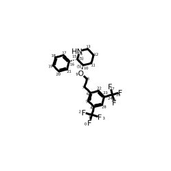 FC(F)(F)c1cc(CCO[C@H]2CCCN[C@H]2c2ccccc2)cc(C(F)(F)F)c1